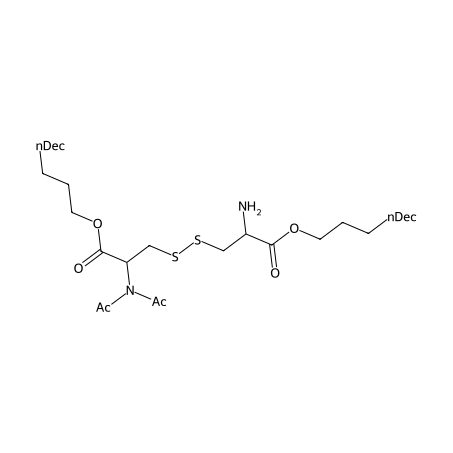 CCCCCCCCCCCCCOC(=O)C(N)CSSCC(C(=O)OCCCCCCCCCCCCC)N(C(C)=O)C(C)=O